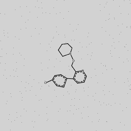 Clc1ccc(-c2cccnc2CON2CCCCC2)cc1